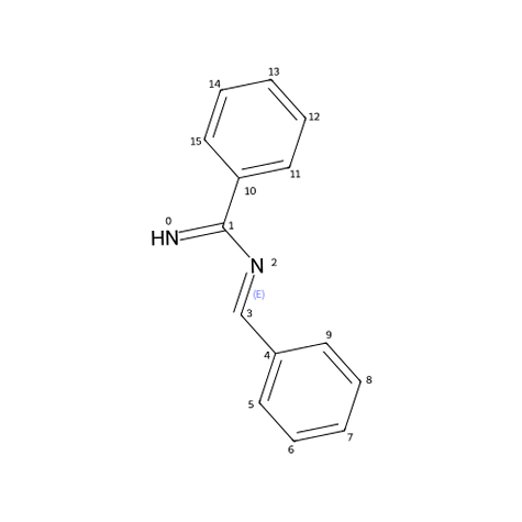 N=C(/N=C/c1ccccc1)c1ccccc1